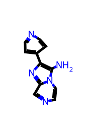 Nc1c(-c2ccncc2)nc2cnccn12